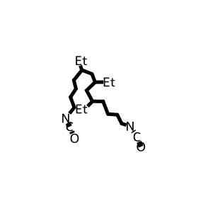 CCC(CCCCN=C=O)CC(CC)CC(CC)CCCCN=C=O